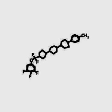 Cc1ccc(C2CCC(C3CCC(C4CCC(C(F)(F)Oc5cc(F)c(F)c(F)c5)CC4)CC3)CC2)cc1